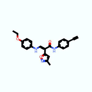 C#Cc1ccc(NC(=O)C(=CNc2ccc(OCC)cc2)c2cc(C)no2)cc1